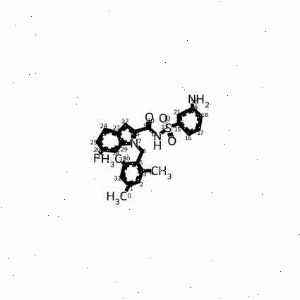 Cc1cc(C)c(Cn2c(C(=O)NS(=O)(=O)c3cccc(N)c3)cc3ccc(F)cc32)c(C)c1